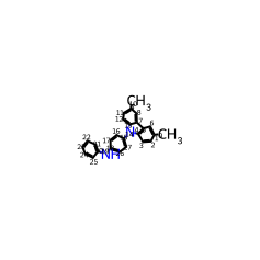 Cc1ccc2c(c1)c1cc(C)ccc1n2-c1ccc(Nc2ccccc2)cc1